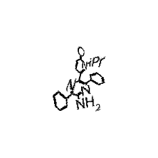 CC(C)n1cc(-c2nc(-c3ccccc3)c(N)nc2-c2ccccc2)ccc1=O